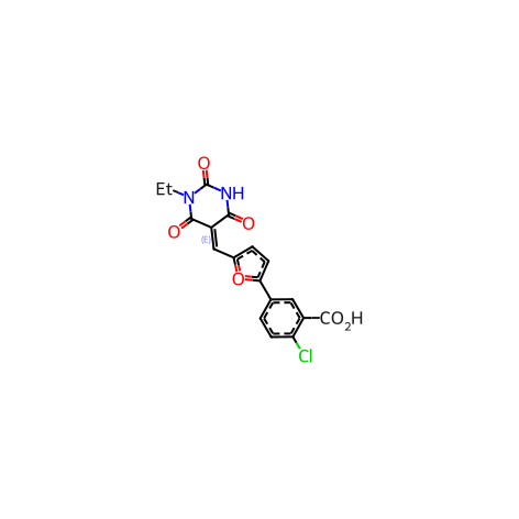 CCN1C(=O)NC(=O)/C(=C\c2ccc(-c3ccc(Cl)c(C(=O)O)c3)o2)C1=O